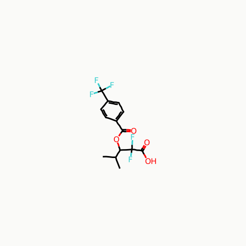 CC(C)C(OC(=O)c1ccc(C(F)(F)F)cc1)C(F)(F)C(=O)O